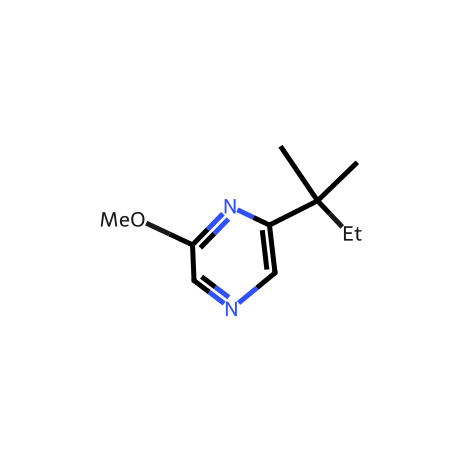 CCC(C)(C)c1cncc(OC)n1